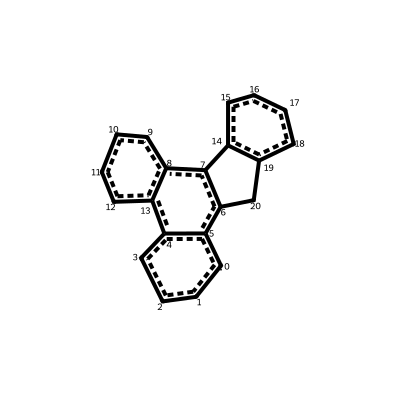 [c]1cccc2c1c1c(c3ccccc32)-c2ccccc2C1